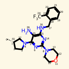 C[C@H]1CCN(c2nc(N3CCOCC3)nc(NCc3ccccc3C(F)(F)F)c2N)C1